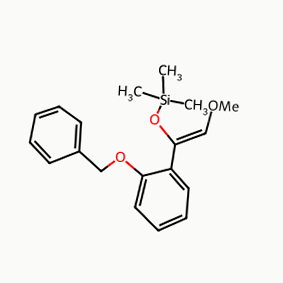 COC=C(O[Si](C)(C)C)c1ccccc1OCc1ccccc1